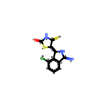 N=C1N/C(=C2/SC(=O)NC2=S)c2c(Cl)cccc21